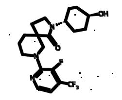 O=C1N([C@H]2CC[C@H](O)CC2)CCC12CCCN(c1nccc(C(F)(F)F)c1F)C2